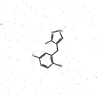 Cc1n[nH]cc1Cc1cc(F)ccc1Br